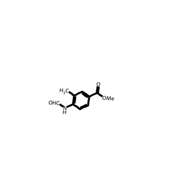 COC(=O)c1ccc(NC=O)c(C)c1